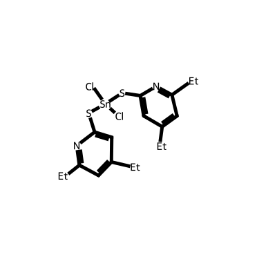 CCc1cc(CC)nc([S][Sn]([Cl])([Cl])[S]c2cc(CC)cc(CC)n2)c1